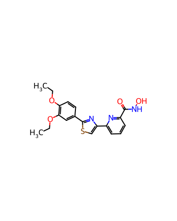 CCOc1ccc(-c2nc(-c3cccc(C(=O)NO)n3)cs2)cc1OCC